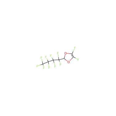 FC1=C(F)OC(C(F)(F)C(F)(F)C(F)(F)C(F)(F)F)O1